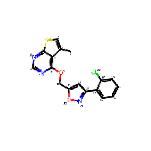 Cc1csc2ncnc(OCc3cc(-c4ccccc4Cl)no3)c12